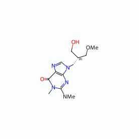 CNc1nc2c(ncn2C[C@H](CO)COC)c(=O)n1C